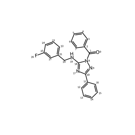 O=C(c1ccccc1)n1nc(-c2ccccc2)nc1NCc1cccc(F)c1